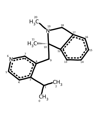 CC(C)c1ccncc1C[C@]1(C)c2ccccc2CN1C